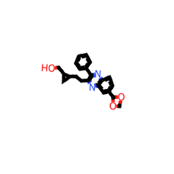 OCC1CC1CCc1nc2cc(C3OCO3)ccc2nc1-c1ccccc1